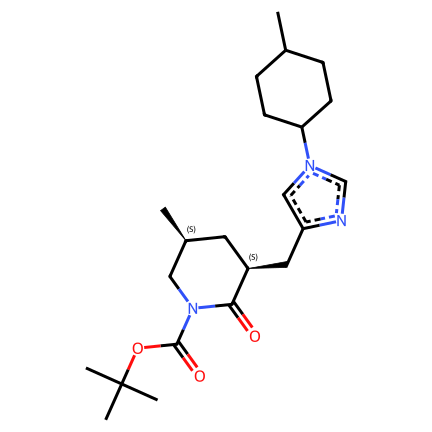 CC1CCC(n2cnc(C[C@@H]3C[C@H](C)CN(C(=O)OC(C)(C)C)C3=O)c2)CC1